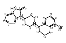 C=C1Nc2ccccc2N1C1CCN(C2CCCc3c(Br)cccc32)CC1